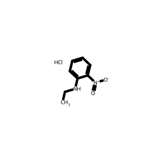 CCNc1ccccc1[N+](=O)[O-].Cl